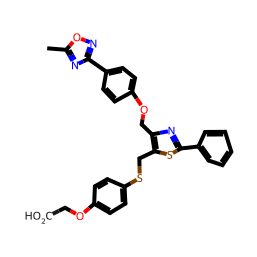 Cc1nc(-c2ccc(OCc3nc(-c4ccccc4)sc3CSc3ccc(OCC(=O)O)cc3)cc2)no1